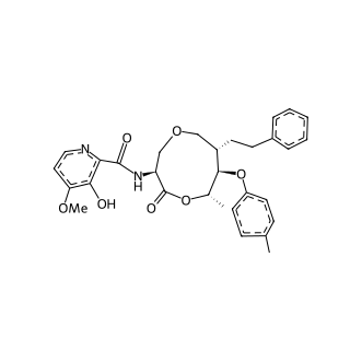 COc1ccnc(C(=O)N[C@H]2COC[C@H](CCc3ccccc3)[C@@H](Oc3ccc(C)cc3)[C@H](C)OC2=O)c1O